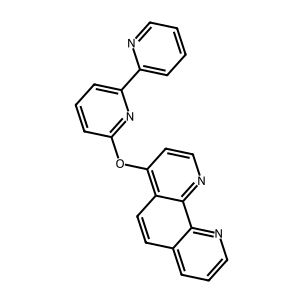 c1ccc(-c2cccc(Oc3ccnc4c3ccc3cccnc34)n2)nc1